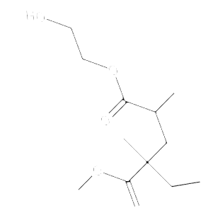 CCC(C)(CC(C)C(=O)OCCO)C(=O)OC